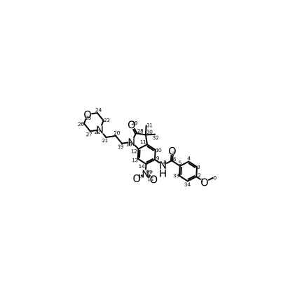 COc1ccc(C(=O)Nc2cc3c(cc2[N+](=O)[O-])N(CCCN2CCOCC2)C(=O)C3(C)C)cc1